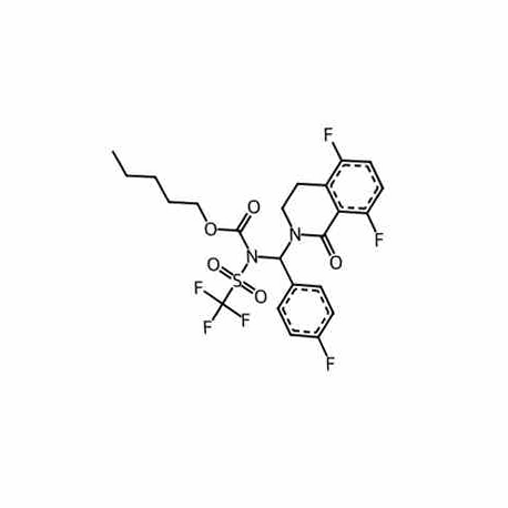 CCCCCOC(=O)N(C(c1ccc(F)cc1)N1CCc2c(F)ccc(F)c2C1=O)S(=O)(=O)C(F)(F)F